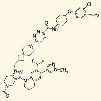 CC(=O)N1CCc2c(c(N3CCCc4cc(-c5cnn(C)c5)c(C(F)F)cc43)nn2CC2CC3(CCN(c4ccc(C(=O)NC5CCC(Oc6ccc(C#N)c(Cl)c6)CC5)nn4)CC3)C2)C1